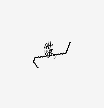 CCCCC/C=C\C/C=C\CCCCCCCC(=O)O[C@H](COC(=O)CCCCCCC/C=C\CCCCCCCC)COP(=O)(O)OC[C@H](N)C(=O)O